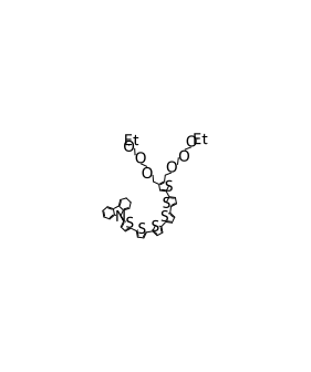 CCOCCOCCOCCc1cc(-c2ccc(-c3ccc(-c4ccc(-c5ccc(-c6ccc(-n7c8c(c9ccccc97)=CCCC=8)s6)s5)s4)s3)s2)sc1CCOCCOCCOCC